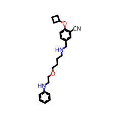 N#Cc1cc(CNCCCCOCCNc2ccccc2)ccc1OC1CCC1